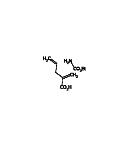 C=CCC(=C)C(=O)O.CCOC(N)=O